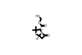 CC1(C)S[C@@H]2CC(=O)N2[C@H]1C(=O)OCS